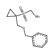 CC(C)(C)CS(=O)(=O)C1(COCc2ccccc2)CC1